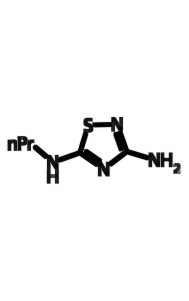 CCCNc1nc(N)ns1